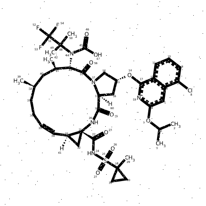 CC(C)Oc1cc2c(Cl)cccc2c(O[C@@H]2C[C@H]3C(=O)N[C@]4(C(=O)NS(=O)(=O)C5(C)CC5)C[C@H]4C=CCC[C@@H](C)C[C@@H](C)[C@H](N(C(=O)O)C(C)(C)C(F)(F)F)C(=O)N3C2)n1